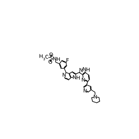 CS(=O)(=O)NCc1cc(F)cc(-c2nccc3[nH]c(-c4n[nH]c5ccc(-c6cncc(CN7CCCCC7)c6)nc45)cc23)c1